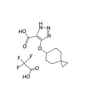 O=C(O)C(F)(F)F.O=C(O)c1[nH]nnc1OC1CCC2(CC1)CC2